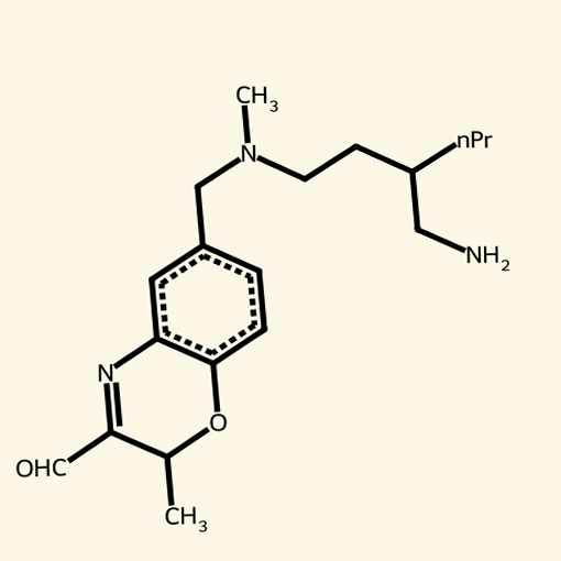 CCCC(CN)CCN(C)Cc1ccc2c(c1)N=C(C=O)C(C)O2